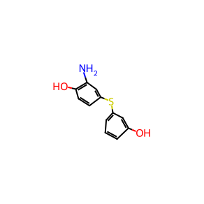 Nc1cc(Sc2cccc(O)c2)ccc1O